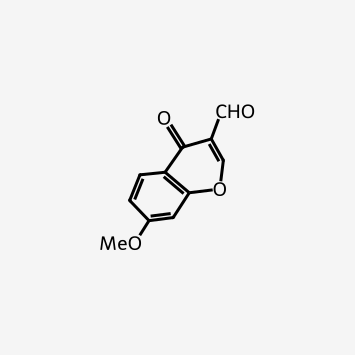 COc1ccc2c(=O)c(C=O)coc2c1